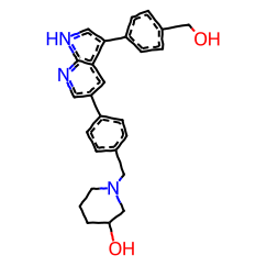 OCc1ccc(-c2c[nH]c3ncc(-c4ccc(CN5CCCC(O)C5)cc4)cc23)cc1